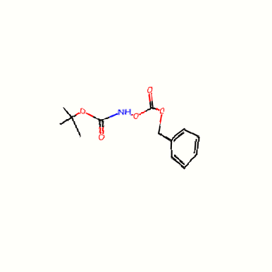 CC(C)(C)OC(=O)NOC(=O)OCc1ccccc1